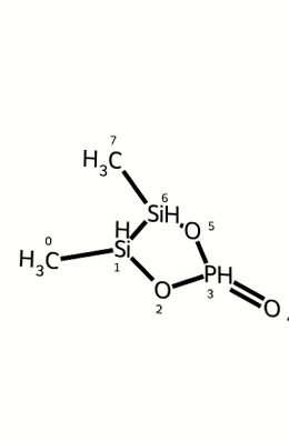 C[SiH]1O[PH](=O)O[SiH]1C